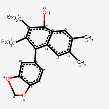 CCOC(=O)c1c(C(=O)OCC)c(-c2ccc3c(c2)OCO3)c2cc(C)c(C)cc2c1O